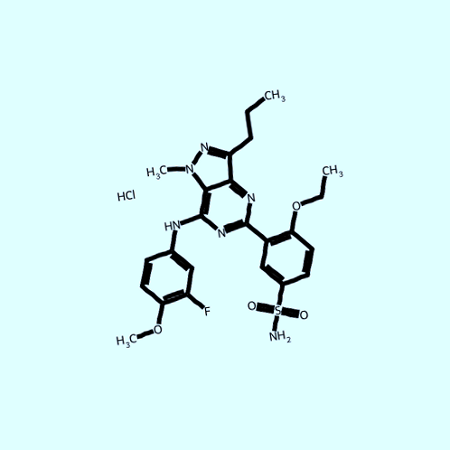 CCCc1nn(C)c2c(Nc3ccc(OC)c(F)c3)nc(-c3cc(S(N)(=O)=O)ccc3OCC)nc12.Cl